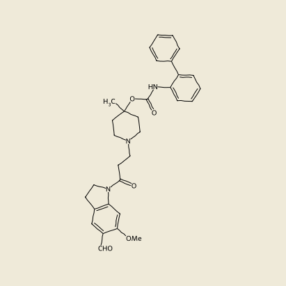 COc1cc2c(cc1C=O)CCN2C(=O)CCN1CCC(C)(OC(=O)Nc2ccccc2-c2ccccc2)CC1